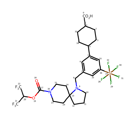 O=C(O)C1CCC(c2cc(CN3CCCC34CCN(C(=O)OC(C(F)(F)F)C(F)(F)F)CC4)cc(S(F)(F)(F)(F)F)c2)CC1